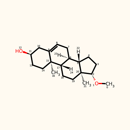 CO[C@H]1CC[C@H]2[C@@H]3CC=C4C[C@H](O)CC[C@]4(C)[C@H]3CC[C@]12C